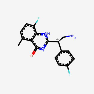 Cc1ccc(F)c2[nH]c([C@@H](CN)c3ccc(F)cc3)nc(=O)c12